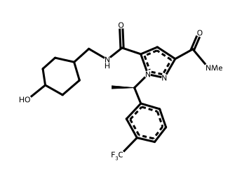 CNC(=O)c1cc(C(=O)NCC2CCC(O)CC2)n([C@H](C)c2cccc(C(F)(F)F)c2)n1